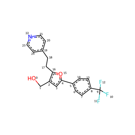 OCc1cc(-c2ccc(C(F)(F)F)cc2)oc1CCc1ccncc1